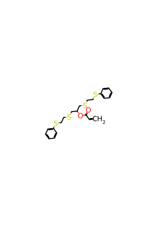 C=CC(=O)OC(CSCCSc1ccccc1)CSCCSc1ccccc1